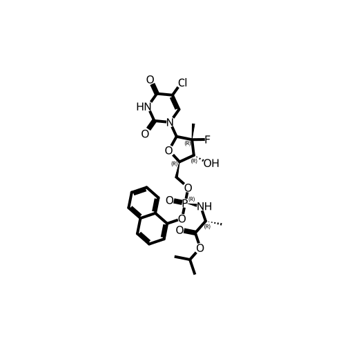 CC(C)OC(=O)[C@@H](C)N[P@@](=O)(OC[C@H]1OC(n2cc(Cl)c(=O)[nH]c2=O)[C@](C)(F)[C@@H]1O)Oc1cccc2ccccc12